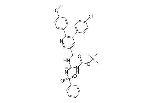 COc1ccc(-c2ncc(CN/C(=N/S(=O)(=O)c3ccccc3)NC(=O)OC(C)(C)C)cc2-c2ccc(Cl)cc2)cc1